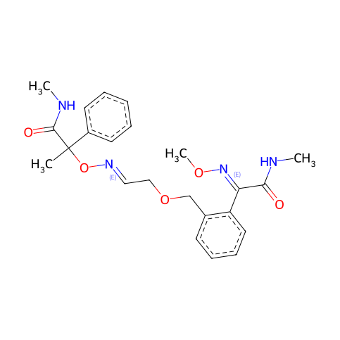 CNC(=O)/C(=N/OC)c1ccccc1COC/C=N/OC(C)(C(=O)NC)c1ccccc1